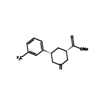 COC(=O)[C@@H]1CNC[C@H](c2cccc(C(F)(F)F)c2)C1